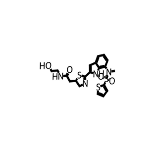 CN(c1cccc2cc(C3=NCC(CC(=O)NCCO)S3)[nH]c12)S(=O)(=O)c1cccs1